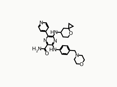 NC(=O)c1nc(-c2ccncc2)c(NC2CCOC3(CC3)C2)nc1Nc1ccc(CN2CCOCC2)cc1